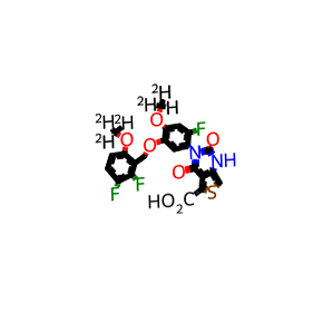 [2H]C([2H])([2H])Oc1cc(F)c(-n2c(=O)[nH]c3csc(C(=O)O)c3c2=O)cc1OCc1c(OC([2H])([2H])[2H])ccc(F)c1F